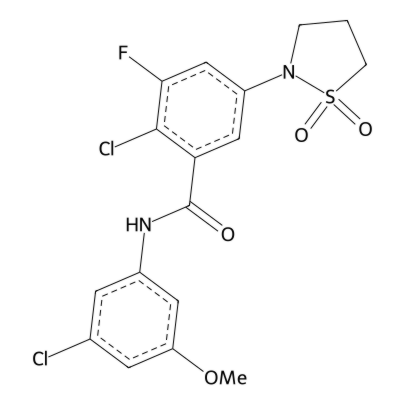 COc1cc(Cl)cc(NC(=O)c2cc(N3CCCS3(=O)=O)cc(F)c2Cl)c1